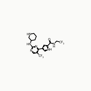 O=C(NCC(F)(F)F)c1cc(-c2nc(NC3CCCNC3)ncc2C(F)(F)F)c[nH]1